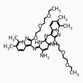 CCOCCOCCOc1nn2c(C)c(C)ccc2c1N=C1NC(=Nc2c(OCCOCCOCC)nn3c(C)c(C)ccc23)C(N)=CC1=N